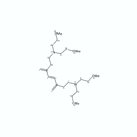 C=C(C=CC(=C)CCN(CCOC)CCOC)CCN(CCOC)CCOC